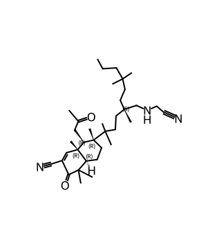 CCCC(C)(C)CC[C@@](C)(CCC(C)(C)[C@]1(C)CC[C@H]2C(C)(C)C(=O)C(C#N)=C[C@]2(C)[C@H]1CC(C)=O)CNCC#N